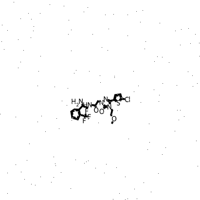 COCCn1c(-c2ccc(Cl)s2)nn(CC(=O)NCC(N)c2ccccc2C(F)(F)F)c1=O